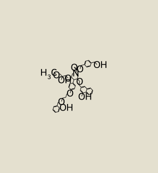 COCC(O)COC1CN(C(=O)OCc2ccc(CO)cc2)CC(OCc2cc(O)c3ccccc3c2)C1c1ccc(OCCCOCc2ccccc2O)cc1